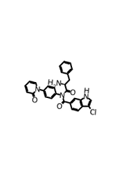 N[C@@H](Cc1ccccc1)C(=O)N(C(=O)c1ccc2c(Cl)c[nH]c2c1)c1ccc(-n2ccccc2=O)cc1